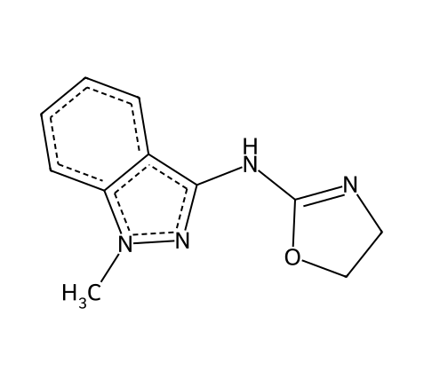 Cn1nc(NC2=NCCO2)c2ccccc21